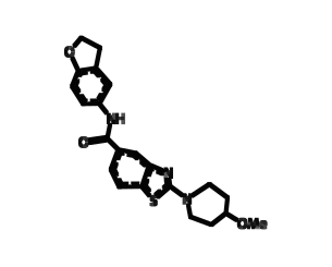 COC1CCN(c2nc3cc(C(=O)Nc4ccc5c(c4)CCO5)ccc3s2)CC1